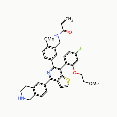 C=CC(=O)NCc1cc(-c2nc(-c3ccc4c(c3)CCNC4)c3ccsc3c2-c2ccc(F)cc2OCCOC)ccc1OC